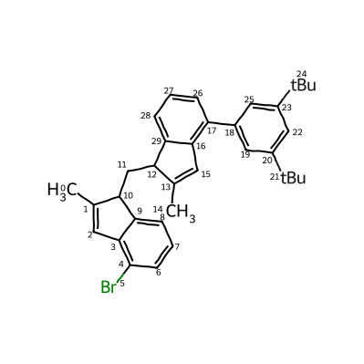 CC1=Cc2c(Br)cccc2C1CC1C(C)=Cc2c(-c3cc(C(C)(C)C)cc(C(C)(C)C)c3)cccc21